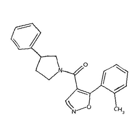 Cc1ccccc1-c1oncc1C(=O)N1CCC(c2ccccc2)C1